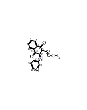 COSC1C(=O)c2ccccc2C(=O)/C1=N\c1cccnc1